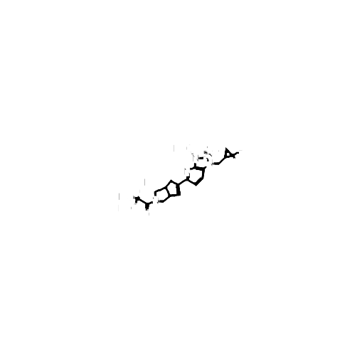 CN1c2nc(C3=CC4CN(C(=O)C(C)(C)O)CC4C3)ccc2N(CC2CC2(F)F)S1(=O)=O